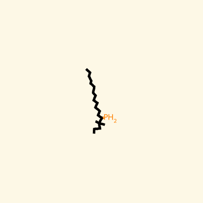 CCCCCCCCCCCCCC(P)C(C)(C)CCC